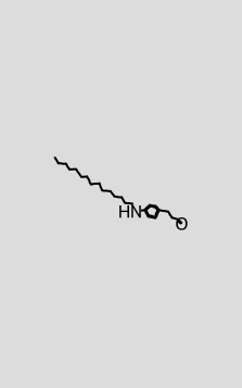 CCCCCCCCCCCCCCCNc1ccc(CCC=O)cc1